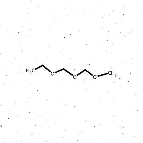 C[CH]OCOCOC